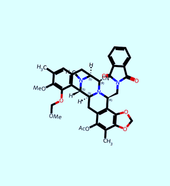 COCOc1c(OC)c(C)cc2c1[C@H]1[C@@H]3Cc4c(OC(C)=O)c(C)c5c(c4[C@H](CN4C(=O)c6ccccc6C4=O)N3[C@@H](C#N)[C@H](C2)N1C)OCO5